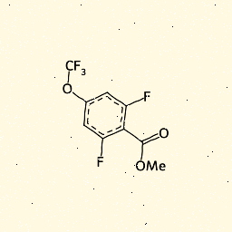 COC(=O)c1c(F)cc(OC(F)(F)F)cc1F